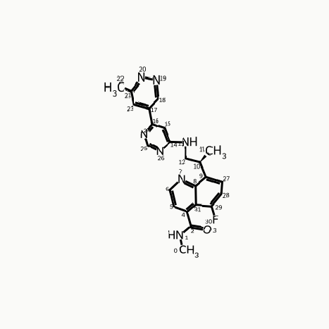 CNC(=O)c1ccnc2c([C@H](C)CNc3cc(-c4cnnc(C)c4)ncn3)ccc(F)c12